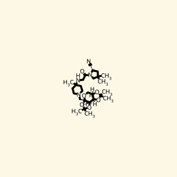 CC1(C)C[C@@H](C#N)N(C(=O)CNC2(C)CCN(C[C@@]34OC[C@H]5OC(C)(C)O[C@H]5[C@@H]3OC(C)(C)O4)CC2)C1